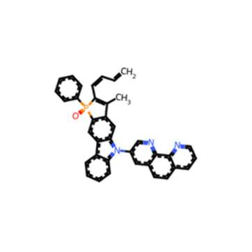 C=C/C=C\C1=C(C)c2cc3c(cc2P1(=O)c1ccccc1)c1ccccc1n3-c1cnc2c(ccc3cccnc32)c1